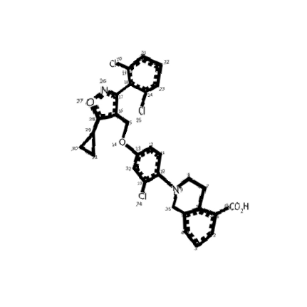 O=C(O)c1cccc2c1CCN(c1ccc(OCc3c(-c4c(Cl)cccc4Cl)noc3C3CC3)cc1Cl)C2